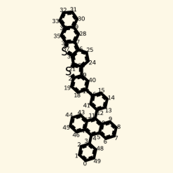 c1ccc(-c2c3ccccc3c(-c3cccc(-c4ccc5sc6c(ccc7c8cc9ccccc9cc8sc76)c5c4)c3)c3ccccc23)cc1